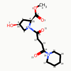 COC(=O)[C@@H]1C[C@H](O)CN1C(=O)CCC(=O)N1CCCCC1